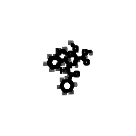 COC(=O)C(=CN(NC(=O)C1CCCCC1)c1ncnc2ccccc12)C(=O)OC